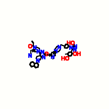 C=CC(=O)N1CCN(c2nc(OC[C@@H]3C[C@H](N4CCN(Cc5ccc(-n6c(O)nnc6-c6cc(C)c(O)cc6O)cc5)CC4)CN3C)nc3c2CCN(c2cccc4ccccc24)C3)C[C@@H]1CC#N